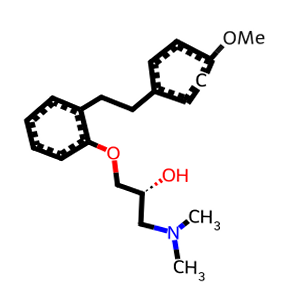 COc1ccc(CCc2ccccc2OC[C@H](O)CN(C)C)cc1